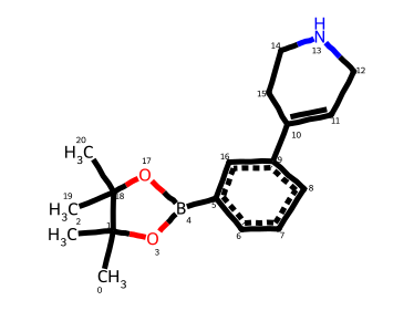 CC1(C)OB(c2cccc(C3=CCNCC3)c2)OC1(C)C